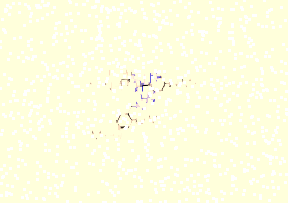 CCCCC(C)(CNC(C)=O)Nc1nc(NCc2ccc(OC)cc2OC)nc2cc(OC)cnc12